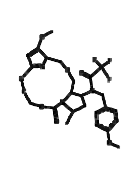 COC1=CC2=NC1COCC1C(N(Cc3ccc(OC)cc3)C(=O)C(F)(F)F)CC(C)N1C(=O)OCCO2